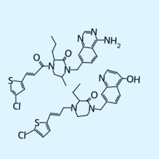 CCC1C(=O)N(Cc2ccc3c(O)ccnc3c2)CCN1CC=Cc1ccc(Cl)s1.CCCC1C(=O)N(Cc2ccc3c(N)ncnc3c2)C(C)CN1C(=O)C=Cc1cc(Cl)cs1